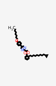 CCCCCCCCOc1ccc(-c2cnc(C3=COC(c4ccccc4CCCCCCCCCC4CC4)O3)nc2)cc1